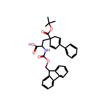 CC(C)(C)OC(=O)C1(CC(NC(=O)OCC2c3ccccc3-c3ccccc32)C(=O)O)C=CC(c2ccccc2)=CC1